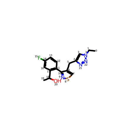 CCn1cc(Cc2csnc2-c2ccc(F)cc2C(C)O)nn1